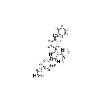 Nc1ncnc2c1c(-c1ccc(Oc3ccccc3)cc1)nn2C1CCN(C2CNC2)CC1F